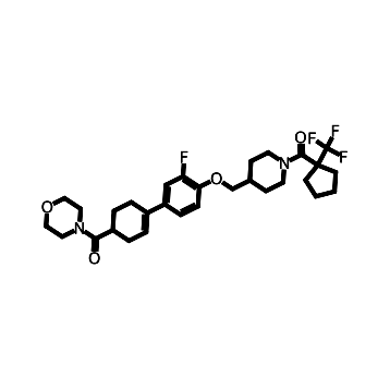 O=C(C1CC=C(c2ccc(OCC3CCN(C(=O)C4(C(F)(F)F)CCCC4)CC3)c(F)c2)CC1)N1CCOCC1